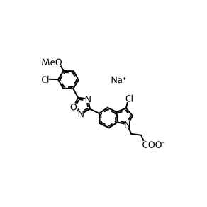 COc1ccc(-c2nc(-c3ccc4c(c3)c(Cl)cn4CCC(=O)[O-])no2)cc1Cl.[Na+]